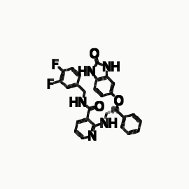 O=C(NCc1ccc(F)c(F)c1)c1cccnc1NC[C@H](Oc1ccc2[nH]c(=O)[nH]c2c1)c1ccccc1